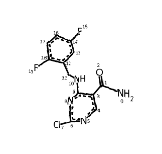 NC(=O)c1cnc(Cl)nc1NCc1cc(F)ccc1F